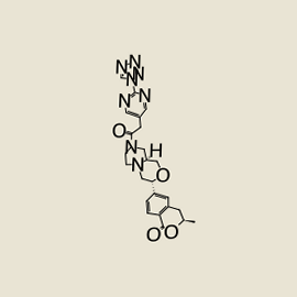 C[C@@H]1Cc2cc([C@@H]3CN4CCN(C(=O)Cc5cnc(-n6cnnn6)nc5)C[C@H]4CO3)ccc2C(=O)O1